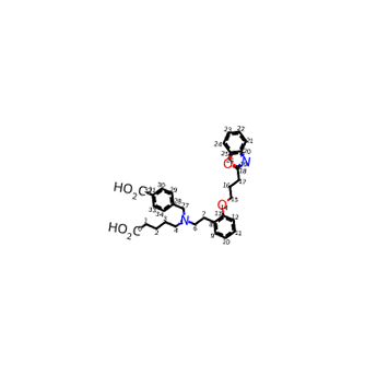 O=C(O)CCCCN(CCc1ccccc1OCCCc1nc2ccccc2o1)Cc1ccc(C(=O)O)cc1